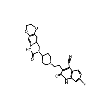 N#Cc1c(CCN2CCC(N(Cc3cc4c(cn3)OCCO4)C(=O)O)CC2)c(=O)[nH]c2cc(F)ccc12